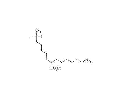 C=CCCCCCCC(CCCCCC(F)(F)C(F)(F)F)C(=O)OCC